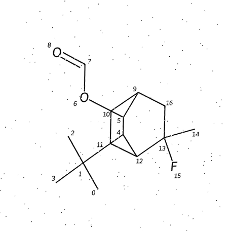 CC(C)(C)C1C(OC=O)C2CCC1C(C)(F)C2